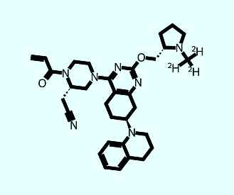 [2H]C([2H])([2H])N1CCC[C@H]1COc1nc2c(c(N3CCN(C(=O)C=C)[C@@H](CC#N)C3)n1)CC[C@H](N1CCCc3ccccc31)C2